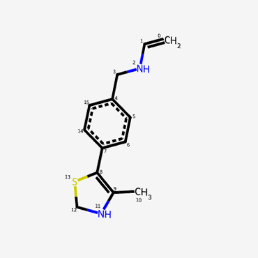 C=CNCc1ccc(C2=C(C)NCS2)cc1